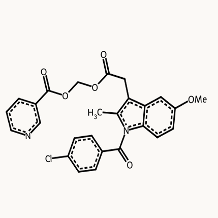 COc1ccc2c(c1)c(CC(=O)OCOC(=O)c1cccnc1)c(C)n2C(=O)c1ccc(Cl)cc1